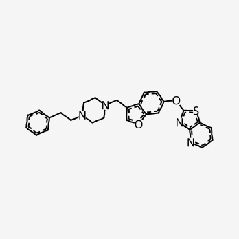 c1ccc(CCN2CCN(Cc3coc4cc(Oc5nc6ncccc6s5)ccc34)CC2)cc1